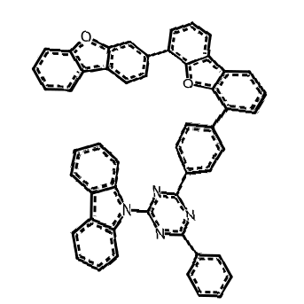 c1ccc(-c2nc(-c3ccc(-c4cccc5c4oc4c(-c6ccc7c(c6)oc6ccccc67)cccc45)cc3)nc(-n3c4ccccc4c4ccccc43)n2)cc1